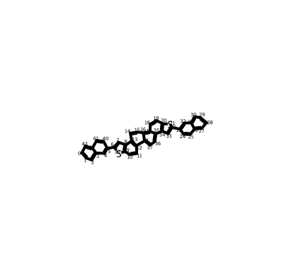 c1ccc2cc(-c3cc4c(ccc5c4ccc4c6ccc7sc(-c8ccc9ccccc9c8)cc7c6ccc54)s3)ccc2c1